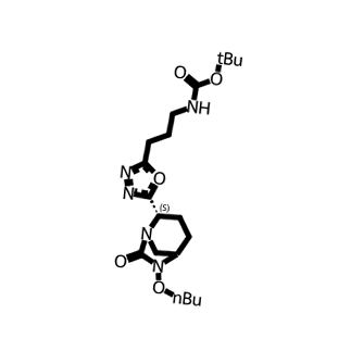 CCCCON1C(=O)N2CC1CC[C@H]2c1nnc(CCCNC(=O)OC(C)(C)C)o1